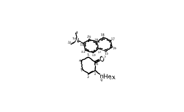 CCCCCCC1CCCCC1=O.CN(C)c1ccc2ccccc2c1